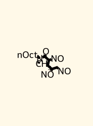 CCCCCCCCN(C)C(=O)C(CC(CN=O)N=O)N=O